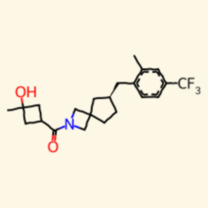 Cc1cc(C(F)(F)F)ccc1C[C@H]1CCC2(C1)CN(C(=O)C1CC(C)(O)C1)C2